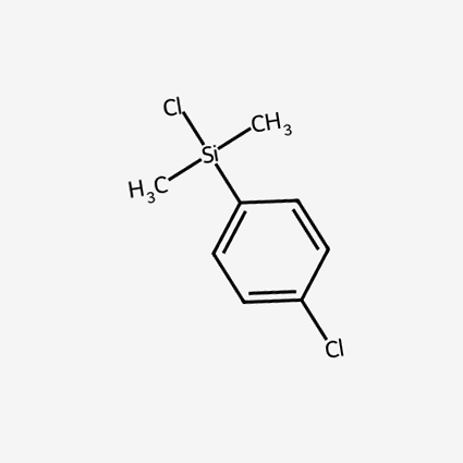 C[Si](C)(Cl)c1ccc(Cl)cc1